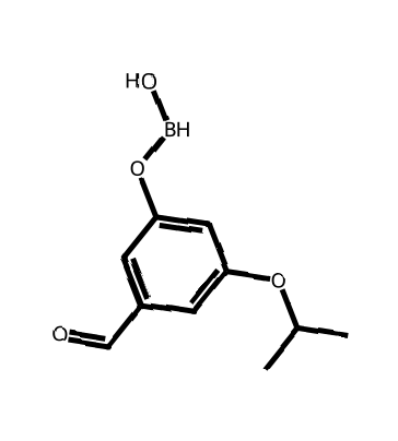 CC(C)Oc1cc(C=O)cc(OBO)c1